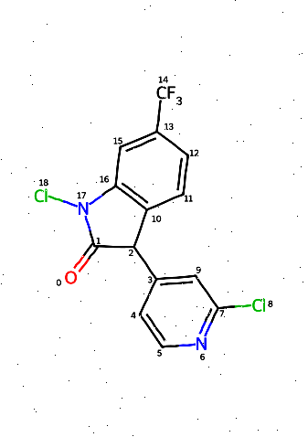 O=C1C(c2ccnc(Cl)c2)c2ccc(C(F)(F)F)cc2N1Cl